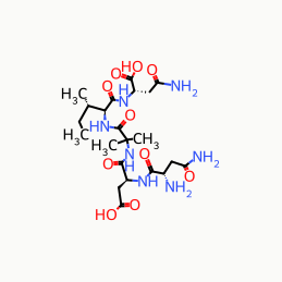 CC[C@H](C)[C@H](NC(=O)C(C)(C)NC(=O)[C@H](CC(=O)O)NC(=O)[C@@H](N)CC(N)=O)C(=O)N[C@@H](CC(N)=O)C(=O)O